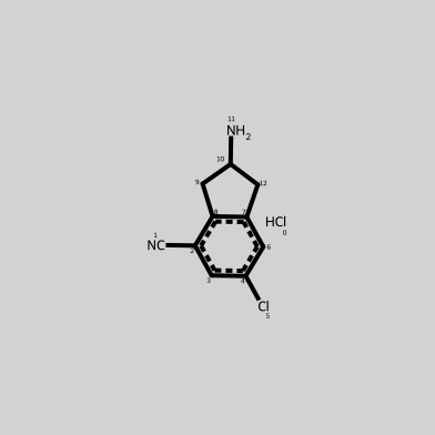 Cl.N#Cc1cc(Cl)cc2c1CC(N)C2